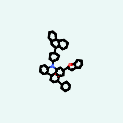 c1ccc(-c2ccc(-c3ccccc3N(c3ccc(-c4cc5ccccc5c5ccccc45)cc3)c3cccc(-c4cc5ccccc5o4)c3)cc2)cc1